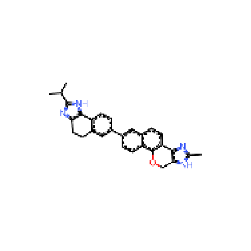 Cc1nc2c([nH]1)COc1c-2ccc2cc(-c3ccc4c(c3)CCc3nc(C(C)C)[nH]c3-4)ccc12